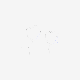 O=Cc1ccccn1.O=Cc1ccccn1.[Pd]